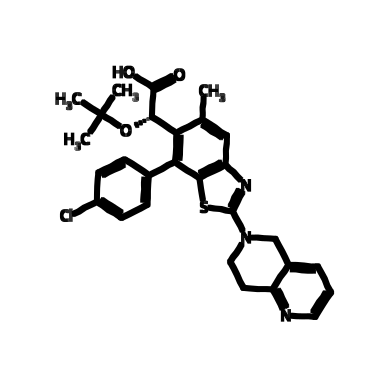 Cc1cc2nc(N3CCc4ncccc4C3)sc2c(-c2ccc(Cl)cc2)c1[C@H](OC(C)(C)C)C(=O)O